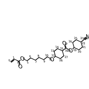 C=CC(=O)OCCCCCCOC1CCC(C(=O)OC2CCC(C#N)CC2)CC1